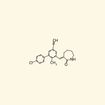 C#Cc1cc(/C=C2\CCCCNC2=O)c(C)c(-c2ccc(Cl)cc2)c1